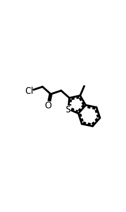 Cc1c(CC(=O)CCl)sc2ccccc12